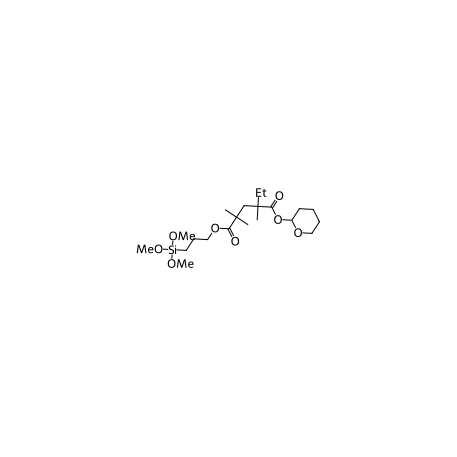 CCC(C)(CC(C)(C)C(=O)OCCC[Si](OC)(OC)OC)C(=O)OC1CCCCO1